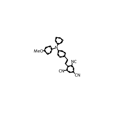 [C-]#[N+]c1cc(C#N)cc([N+]#[C-])c1C=Cc1ccc(N(c2ccccc2)c2ccc(OC)cc2)cc1